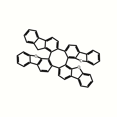 c1ccc2c(c1)Cc1c-2ccc2c1-c1c(ccc3c1oc1ccccc13)-c1ccc3c(oc4ccccc43)c1-c1c-2ccc2c1Cc1ccccc1-2